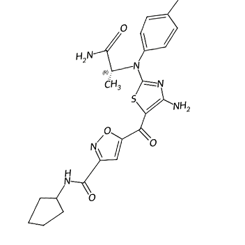 C[C@H](C(N)=O)N(c1ccc(F)cc1)c1nc(N)c(C(=O)c2cc(C(=O)NC3CCCC3)no2)s1